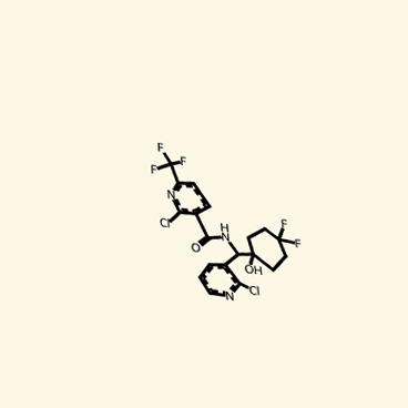 O=C(NC(c1cccnc1Cl)C1(O)CCC(F)(F)CC1)c1ccc(C(F)(F)F)nc1Cl